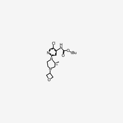 C[C@H]1CN(C2COC2)CCN1c1cc(NC(=O)OC(C)(C)C)c(Cl)cn1